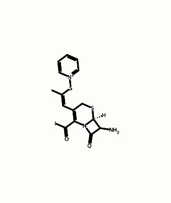 CC(=CC1=C(C(=O)I)N2C(=O)C(N)[C@@H]2SC1)S[n+]1ccccc1